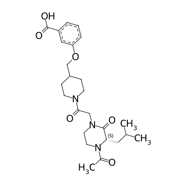 CC(=O)N1CCN(CC(=O)N2CCC(COc3cccc(C(=O)O)c3)CC2)C(=O)[C@@H]1CC(C)C